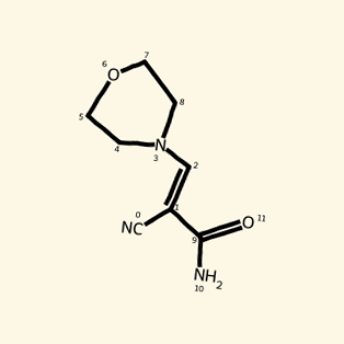 N#C/C(=C\N1CCOCC1)C(N)=O